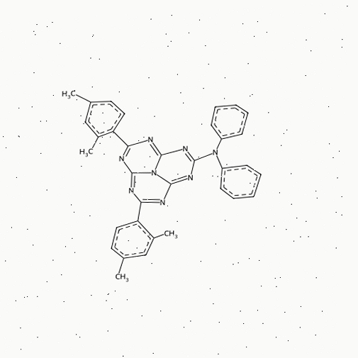 Cc1ccc(C2=NC3=NC(c4ccc(C)cc4C)=NC4=NC(N(c5ccccc5)c5ccccc5)=NC(=N2)N34)c(C)c1